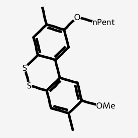 CCCCCOc1cc2c(cc1C)SSc1cc(C)c(OC)cc1-2